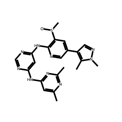 Cc1cc(Nc2cc(Nc3ncc(-c4cnn(C)c4C)cc3[S+](C)[O-])ncn2)nc(C)n1